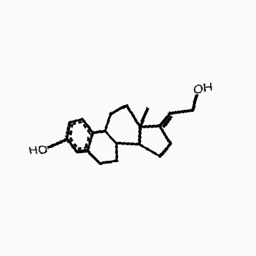 CC12CCC3c4ccc(O)cc4CCC3C1CC/C2=C\CO